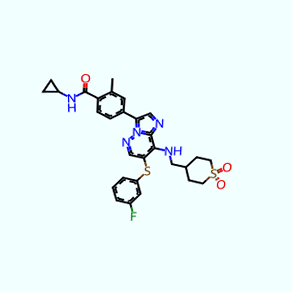 Cc1cc(-c2cnc3c(NCC4CCS(=O)(=O)CC4)c(Sc4cccc(F)c4)cnn23)ccc1C(=O)NC1CC1